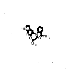 NC(=O)c1ccccc1N1CC[C@H](C(F)(F)F)Oc2nc3[nH]ccc3cc21